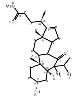 [2H]C(C)C1([2H])C(=O)C2C3CC[C@H]([C@H](C)CCC(=O)OC)[C@@]3(C)CCC2[C@@]2(C)CC[C@@H](O)C[C@@H]12